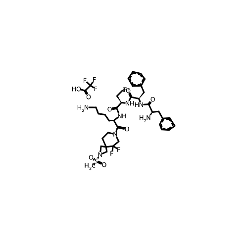 CC(C)C[C@@H](NC(=O)[C@@H](Cc1ccccc1)NC(=O)[C@H](N)Cc1ccccc1)C(=O)N[C@H](CCCCN)C(=O)N1CCC2(CN(S(C)(=O)=O)C2)C(F)(F)C1.O=C(O)C(F)(F)F